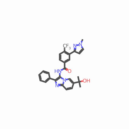 Cn1ccc(-c2cc(C(=O)Nc3c(-c4ccccc4)nc4ccc(C(C)(C)O)cn34)ccc2C(F)(F)F)n1